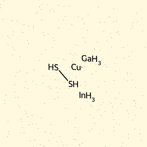 SS.[Cu].[GaH3].[InH3]